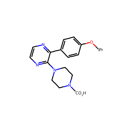 CC(C)Oc1ccc(-c2nccnc2N2CCN(C(=O)O)CC2)cc1